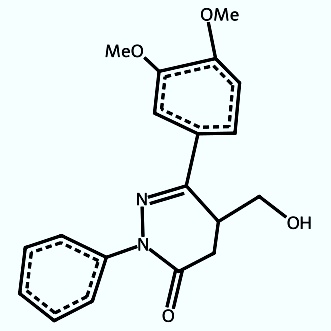 COc1ccc(C2=NN(c3ccccc3)C(=O)CC2CO)cc1OC